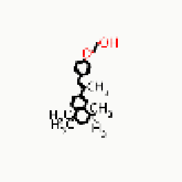 CC(=Cc1ccc(OCCO)cc1)c1ccc2c(c1)C(C)(C)CCC2(C)C